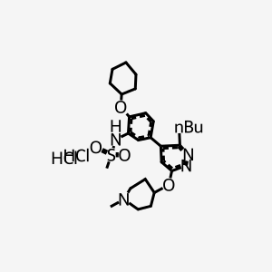 CCCCc1nnc(OC2CCN(C)CC2)cc1-c1ccc(OC2CCCCC2)c(NS(C)(=O)=O)c1.Cl.Cl